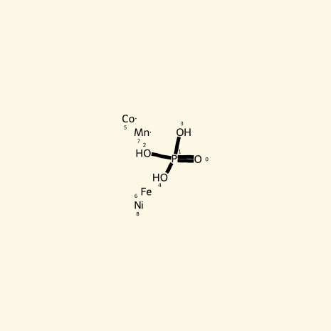 O=P(O)(O)O.[Co].[Fe].[Mn].[Ni]